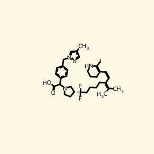 CC(C)=C(/C=C\C1=C(I)NCCC1)CCCCC(F)(F)[C@@H]1CCN(C(C(=O)O)c2ccc(Cn3cc(C)cn3)cc2)C1